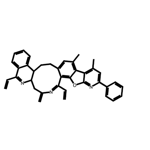 C=CC1=NC2CC(=C)/N=C(/C=C)c3c(cc(C)c4c3oc3nc(-c5ccccc5)cc(C)c34)CCC2c2ccccc21